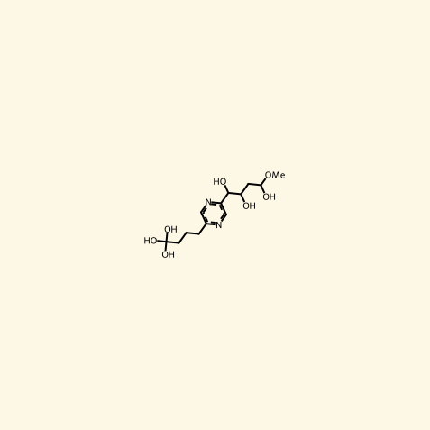 COC(O)CC(O)C(O)c1cnc(CCCC(O)(O)O)cn1